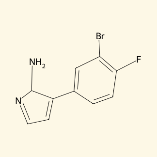 NC1N=CC=C1c1ccc(F)c(Br)c1